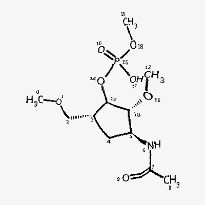 COC[C@H]1C[C@H](NC(C)=O)[C@@H](OC)C1OP(=O)(O)OC